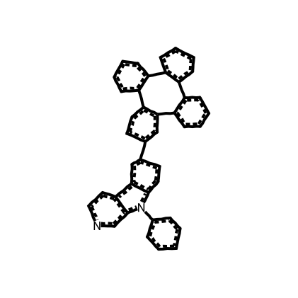 c1ccc(-n2c3ccc(-c4ccc5c(c4)-c4ccccc4-c4ccccc4-c4ccccc4-5)cc3c3ccncc32)cc1